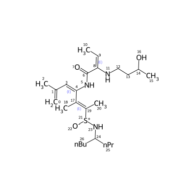 C=C(C)/C=C(NC(=O)/C(=C\C)NCCC(C)O)\C(C)=C(/C)[S+]([O-])NC(CCC)CCCC